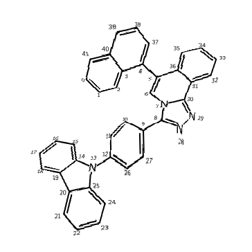 c1ccc2c(-c3cn4c(-c5ccc(-n6c7ccccc7c7ccccc76)cc5)nnc4c4ccccc34)cccc2c1